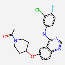 CC(=O)N1CCC(Oc2ccc3ncnc(Nc4ccc(F)c(Cl)c4)c3c2)CC1